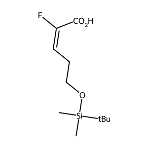 CC(C)(C)[Si](C)(C)OCC/C=C(/F)C(=O)O